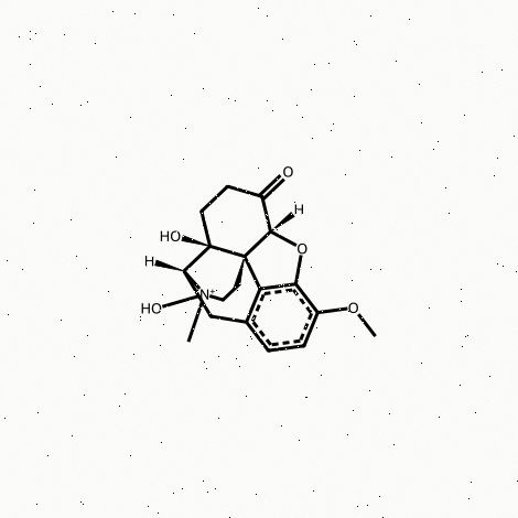 COc1ccc2c3c1O[C@H]1C(=O)CC[C@@]4(O)[C@@H](C2)[N+](C)(O)CC[C@]314